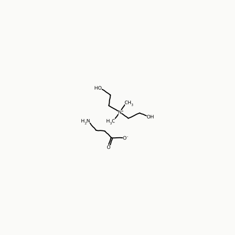 C[N+](C)(CCO)CCO.NCCC(=O)[O-]